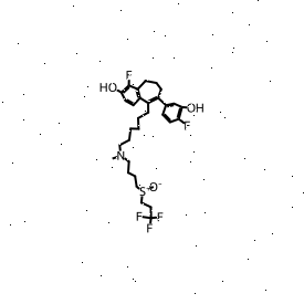 CN(CCCCCCC1=C(c2ccc(F)c(O)c2)CCCc2c1ccc(O)c2F)CCCC[S+]([O-])CCC(F)(F)F